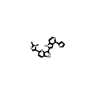 Cc1ncc(-c2ccc3[nH]nc(-c4cc5c(-c6cccs6)nccc5[nH]4)c3n2)n1C